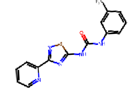 O=C(Nc1cccc(C(F)(F)F)c1)Nc1nc(-c2ccccn2)ns1